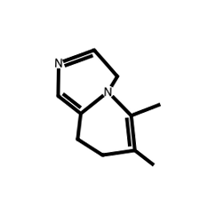 CC1=C(C)N2CC=NC=C2CC1